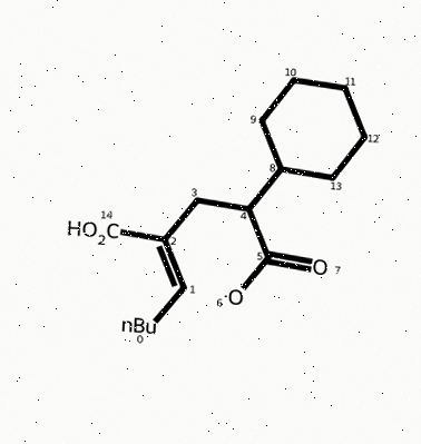 CCCCC=C(CC(C([O])=O)C1CCCCC1)C(=O)O